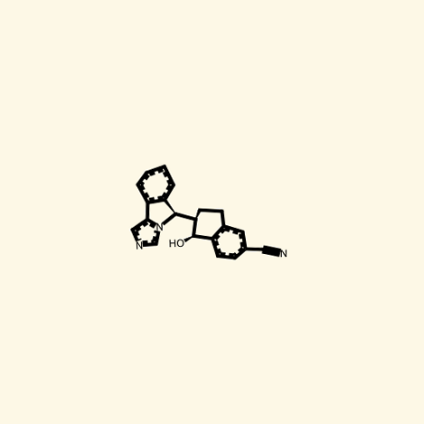 N#Cc1ccc2c(c1)CC[C@H]([C@@H]1c3ccccc3-c3cncn31)[C@@H]2O